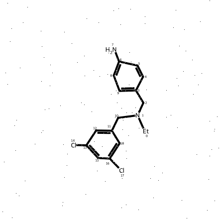 CCN(Cc1ccc(N)cc1)Cc1cc(Cl)cc(Cl)c1